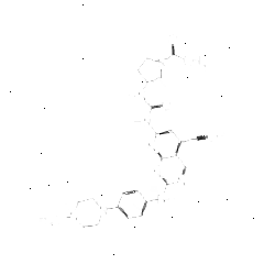 C#Cc1cc(NC(=O)N[C@H]2CCN(C(C)=O)C2)nc2nc(Nc3ccc(N4CCN(C)CC4)cc3)ncc12